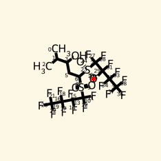 CC(C)C(O)CC(S(=O)(=O)C(F)(F)C(F)(F)C(F)(F)C(F)(F)F)S(=O)(=O)C(F)(F)C(F)(F)C(F)(F)C(F)(F)F